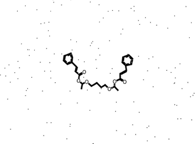 CC(OCCCCOC(C)OC(=O)/C=C/c1ccccc1)OC(=O)/C=C/c1ccccc1